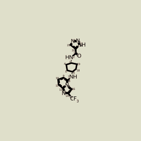 O=C(N[C@H]1CC[C@@H](Nc2cccc3nc(C(F)(F)F)cn23)CC1)c1cnn[nH]1